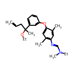 C=CCC(C)(OCC)c1cccc(Oc2cc(C)c(N=CN(C)CC)cc2C)c1